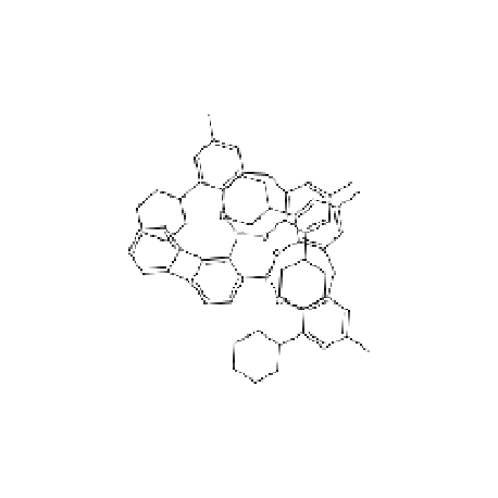 Cc1cc2c(c(C3CCCCC3)c1)OP(c1ccc3c(c1P1Oc4c(cc(C)cc4C4CCCCC4)Cc4cc(C)cc(C5CCCCC5)c4O1)-c1ccccc1-3)Oc1c(cc(C)cc1C1CCCCC1)C2